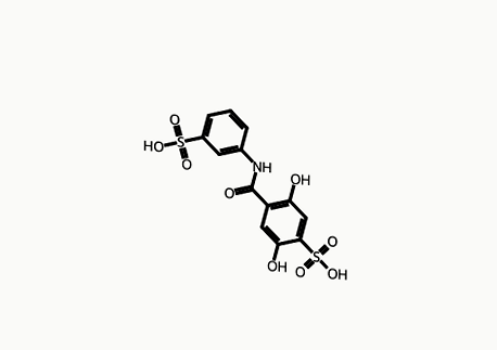 O=C(Nc1cccc(S(=O)(=O)O)c1)c1cc(O)c(S(=O)(=O)O)cc1O